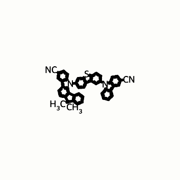 CC1(C)c2ccccc2-c2c1ccc1c3cc(C#N)ccc3n(-c3ccc4c(c3)sc3ccc(-n5c6ccccc6c6cc(C#N)ccc65)cc34)c21